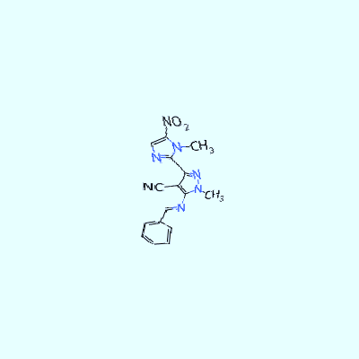 Cn1nc(-c2ncc([N+](=O)[O-])n2C)c(C#N)c1/N=C/c1ccccc1